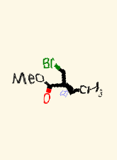 C/C=C(\CBr)C(=O)OC